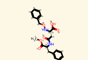 COC(=O)[C@H](Cc1ccccc1)NC(=O)C[C@H](NOCc1ccccc1)C(=O)O